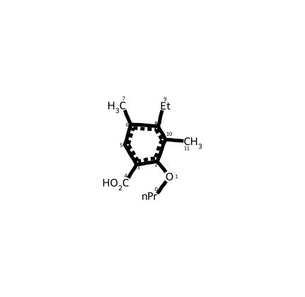 CCCOc1c(C(=O)O)cc(C)c(CC)c1C